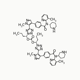 CCC[C@H](OC(=O)O[C@@H](CCC)n1nnc(-c2c(-c3ccc(C(=O)N(c4ncccc4C)[C@@H]4CCCNC4)cc3)cnn2C)n1)n1nnc(-c2c(-c3ccc(C(=O)N(c4ncccc4C)[C@@H]4CCCNC4)cc3)cnn2C)n1